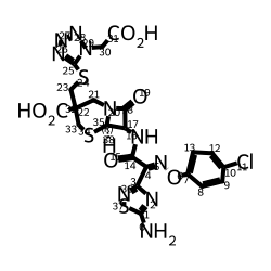 Nc1nc(C(=NOc2ccc(Cl)cc2)C(=O)NC2C(=O)N3CC(CSc4nnnn4CC(=O)O)(C(=O)O)CS[C@H]23)ns1